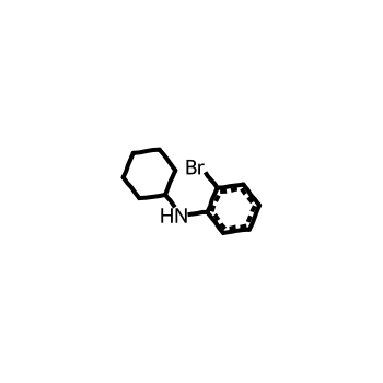 Brc1ccccc1NC1CCCCC1